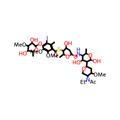 CCN(C(C)=O)C1COC(C2C(O)OC(C)C(NOC3CC(O)C(SC(=O)c4c(C)c(I)c(OC5OC(C)C(O)C(OC)C5O)c(OC)c4OC)C(C)O3)C2O)CC1OC